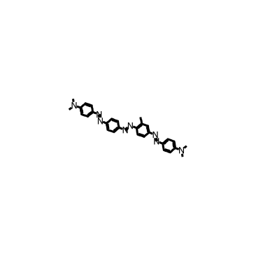 Cc1cc(N=Nc2ccc(N(C)C)cc2)ccc1N=Nc1ccc(N=Nc2ccc(N(C)C)cc2)cc1